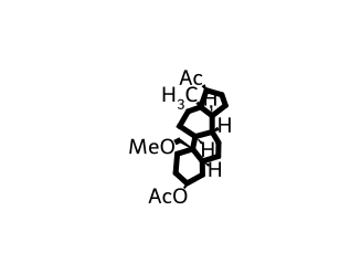 COC[C@]12CC[C@@H](OC(C)=O)C[C@@H]1CC[C@H]1[C@@H]3CC[C@H](C(C)=O)[C@@]3(C)CC[C@@H]12